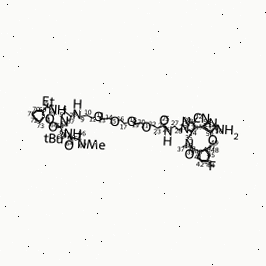 CC[C@@H](NC(=O)[C@@H]1C[C@H](NCCCOCCOCCOCCOCCC(=O)NCCn2nc(C#N)c3c2CN(C)C(=O)c2ccc(F)cc2[C@@H](C)Oc2cc-3cnc2N)CN1C(=O)[C@@H](NC(=O)[C@H](C)NC)C(C)(C)C)c1ccccc1